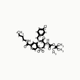 CCCCNC(=O)c1cc2c(cn1)S(=O)(=O)C[C@H](NC(=O)OC(C)(C)C)C(=O)N2Cc1ccc(Cl)cc1